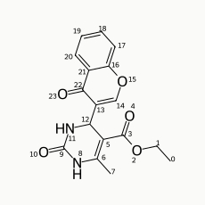 CCOC(=O)C1=C(C)NC(=O)NC1c1coc2ccccc2c1=O